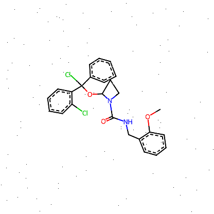 COc1ccccc1CNC(=O)N1CCC1OC(Cl)(c1ccccc1)c1ccccc1Cl